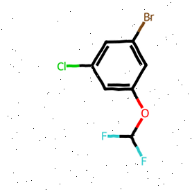 FC(F)Oc1cc(Cl)cc(Br)c1